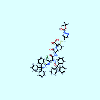 CC(C)(C)OC(=O)n1cc(CSC2=C(C(=O)O)N3C(=O)C(NC(=O)C(=NOC(c4ccccc4)(c4ccccc4)c4ccccc4)c4nc(NC(c5ccccc5)(c5ccccc5)c5ccccc5)sc4Cl)C3CC2)cn1